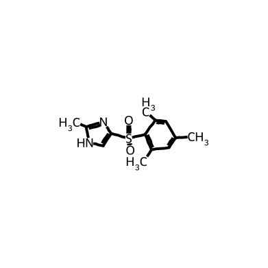 Cc1cc(C)c(S(=O)(=O)c2c[nH]c(C)n2)c(C)c1